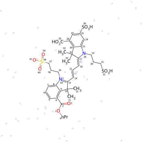 CCCOC(=O)c1cccc2c1C(C)(C)C(/C=C/C=C1/N(CCCS(=O)(=O)O)c3cc(S(=O)(=O)O)cc(C(=O)O)c3C1(C)C)=[N+]2CCCS(=O)(=O)[O-]